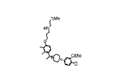 COCCNCCCOc1ccc(C(C)N2CCN(c3ccc(Cl)c(OC)c3)CC2)c(C)c1C